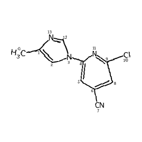 Cc1cn(-c2cc(C#N)cc(Cl)n2)cn1